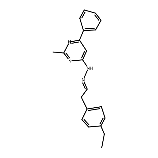 CCc1ccc(CC=NNc2cc(-c3ccccc3)nc(C)n2)cc1